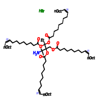 Br.CCCCCCCC/C=C\CCCCCCCC(=O)OCC(OC(=O)CCCCCCC/C=C\CCCCCCCC)(C(C)(C)N)C(CC)(OC(=O)CCCCCCC/C=C\CCCCCCCC)OC(=O)CCCCCCC/C=C\CCCCCCCC